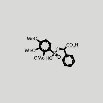 COc1ccc(P(=O)(O)OC(C(=O)O)c2ccccc2)c(OC)c1OC